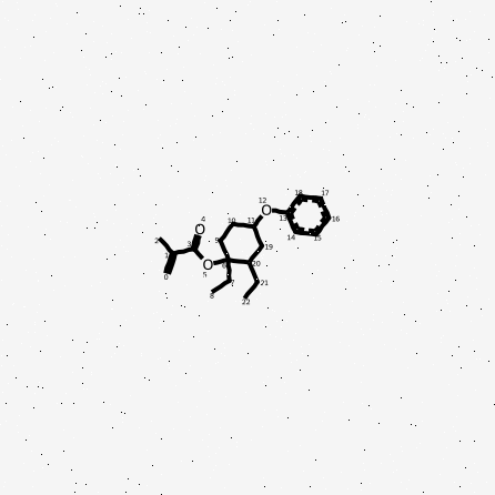 C=C(C)C(=O)OC1(CC)CCC(Oc2ccccc2)CC1CC